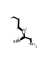 CCCOC(=N)CN